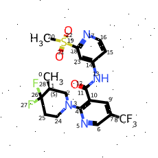 C[C@H]1CN(c2ncc(C(F)(F)F)cc2C(=O)Nc2ccnc(S(C)(=O)=O)c2)CCC1(F)F